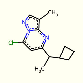 Cc1cnn2c(Cl)cc(C(C)C3CCC3)nc12